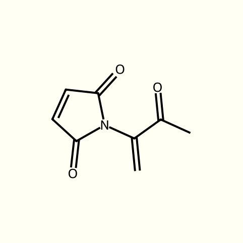 C=C(C(C)=O)N1C(=O)C=CC1=O